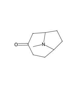 CN1C2CCC(=O)CC1CC2